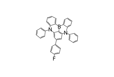 Fc1ccc(-c2cc3c4c(c2)N(c2ccccc2)c2ccccc2B4c2ccccc2N3c2ccccc2)cc1